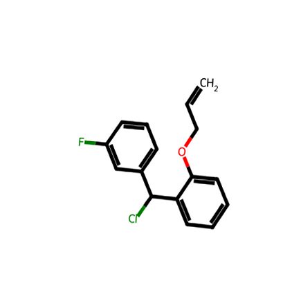 C=CCOc1ccccc1C(Cl)c1cccc(F)c1